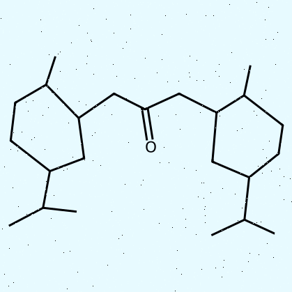 CC(C)C1CCC(C)C(CC(=O)CC2CC(C(C)C)CCC2C)C1